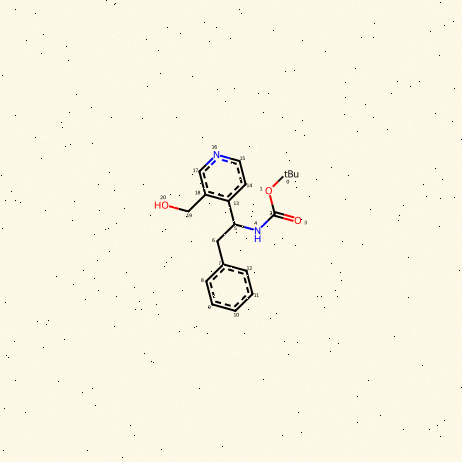 CC(C)(C)OC(=O)NC(Cc1ccccc1)c1ccncc1CO